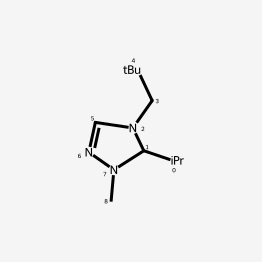 CC(C)C1N(CC(C)(C)C)C=NN1C